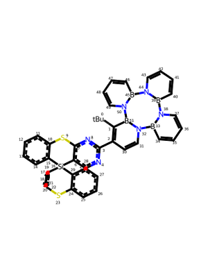 CC(C)(C)C1=C(c2ncc3c(n2)Sc2ccccc2[Si]32c3ccccc3Sc3ccccc32)C=CN2B3C=CC=CN3B3C=CC=CN3B3C=CC=CN3B12